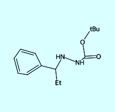 CCC(NNC(=O)OC(C)(C)C)c1ccccc1